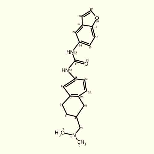 CN(C)CC1CCc2cc(NC(=O)Nc3ccc4occc4c3)ccc2C1